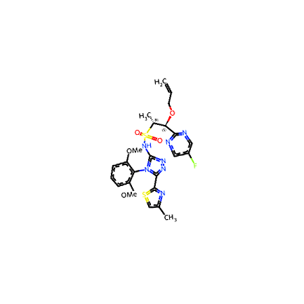 C=CCO[C@@H](c1ncc(F)cn1)[C@@H](C)S(=O)(=O)Nc1nnc(-c2nc(C)cs2)n1-c1c(OC)cccc1OC